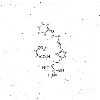 C[C@H](CCc1ccc(C#CCCOC2CCCCC2)s1)C(N)O.O=C(O)/C=C\C(=O)O